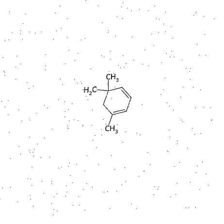 [CH2]C1(C)C=CC=C(C)C1